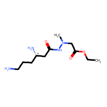 CCOC(=O)CN(C)NC(=O)C[C@@H](N)CCCN